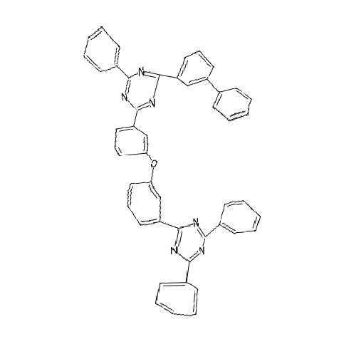 c1ccc(-c2cccc(-c3nc(-c4ccccc4)nc(-c4cccc(Oc5cccc(-c6nc(-c7ccccc7)nc(-c7ccccc7)n6)c5)c4)n3)c2)cc1